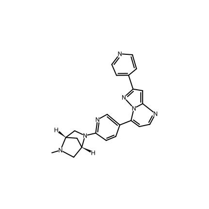 CN1C[C@@H]2C[C@H]1CN2c1ccc(-c2ccnc3cc(-c4ccncc4)nn23)cn1